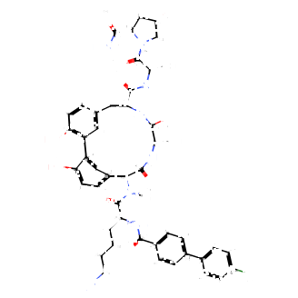 C[C@H](NC(=O)[C@@H]1Cc2ccc(O)c(c2)-c2cc(ccc2O)[C@H](N(C)C(=O)[C@H](CCCCN)NC(=O)c2ccc(-c3ccc(Cl)cc3)cc2)C(=O)N[C@@H](C)C(O)N1)C(=O)N1C[C@@H](O)C[C@H]1C(N)=O